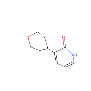 O=c1[nH]cccc1C1CCOCC1